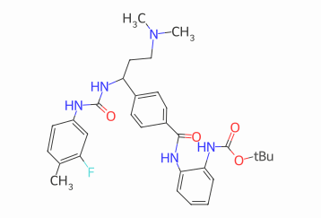 Cc1ccc(NC(=O)NC(CCN(C)C)c2ccc(C(=O)Nc3ccccc3NC(=O)OC(C)(C)C)cc2)cc1F